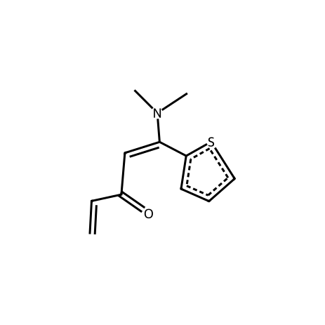 C=CC(=O)/C=C(\c1cccs1)N(C)C